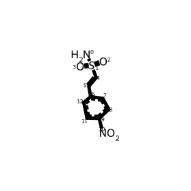 NS(=O)(=O)/C=C/c1ccc([N+](=O)[O-])cc1